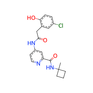 CC1(NC(=O)c2cc(NC(=O)Cc3cc(Cl)ccc3O)ccn2)CCC1